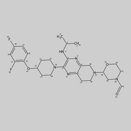 CC(C)Nc1nc2c(nc1N1CCC(Oc3ccc(F)cc3F)CC1)CCN(C1CN(C=O)CCO1)C2